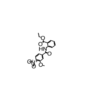 CCOC(=O)c1ccccc1NC(=O)c1ccc([N+](=O)[O-])c(OC)c1